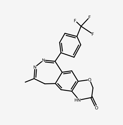 CC1=NN=C(c2ccc(C(F)(F)F)cc2)c2cc3c(cc2C1)NC(=O)CO3